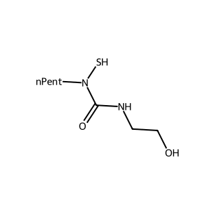 CCCCCN(S)C(=O)NCCO